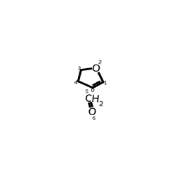 C1=COCC1.C=O